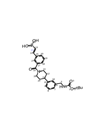 CC(C)(C)OC(=O)NCc1cccc(C2CCN(C(=O)c3cccc(/C=C/B(O)O)c3)CC2)c1